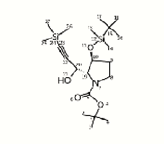 CC(C)(C)OC(=O)N1CC[C@H](O[Si](C)(C)C(C)(C)C)[C@H]1C(O)C#C[Si](C)(C)C